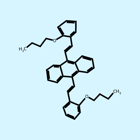 CCCCOc1ccccc1C=Cc1c2ccccc2c(C=Cc2ccccc2OCCCC)c2ccccc12